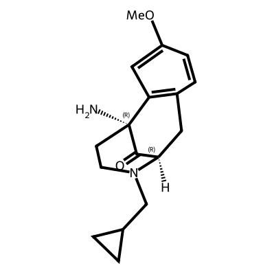 COc1ccc2c(c1)[C@]1(N)CCN(CC3CC3)[C@H](C2)C1=O